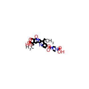 CCc1c2c(nc3ccc(OC(=O)N4CCN(C(=O)O)CC4)cc13)-c1cc3c(c(=O)n1C2)COC(=O)[C@]3(O)CC